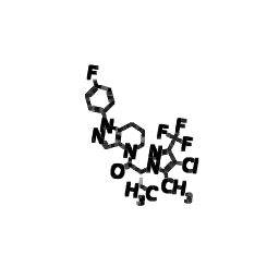 CC[C@H](C(=O)N1CCCc2c1cnn2-c1ccc(F)cc1)n1nc(C(F)(F)F)c(Cl)c1C